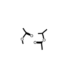 CC(=O)OC(C)C.COC(C)=O